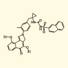 CCOC1=C2CN(c3ccc(CC4(NC(=O)NS(=O)(=O)c5ccc6ccccc6c5)CC4)cc3C)C=C2c2c(OCC)cccc2C1=O